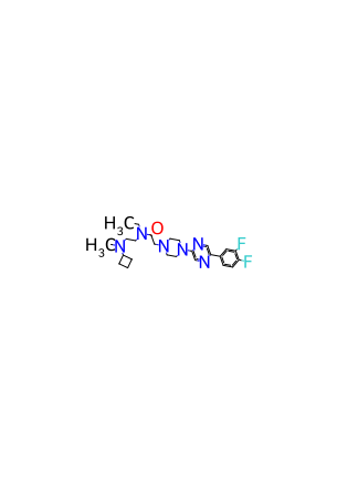 CCN(CCN(C)C1CCC1)C(=O)CN1CCN(c2cnc(-c3ccc(F)c(F)c3)cn2)CC1